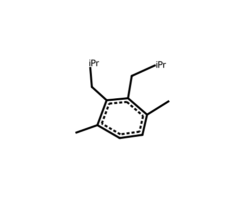 Cc1ccc(C)c(CC(C)C)c1CC(C)C